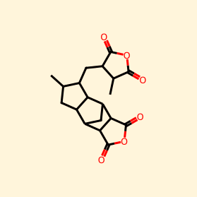 CC1CC2C3CC(C4C(=O)OC(=O)C34)C2C1CC1C(=O)OC(=O)C1C